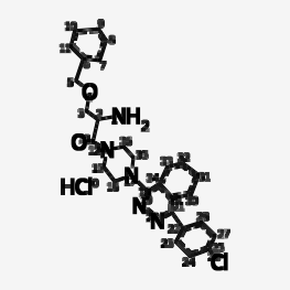 Cl.NC(COCc1ccccc1)C(=O)N1CCN(c2nnc(-c3ccc(Cl)cc3)c3ccccc23)CC1